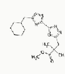 COC(=O)C(C)(C)Cc1nnc(-c2nc(CC3CCCCC3)cs2)o1